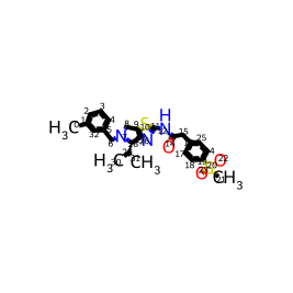 Cc1cccc(CN2Cc3sc(NC(=O)Cc4ccc(S(C)(=O)=O)cc4)nc3[C@H]2C(C)C)c1